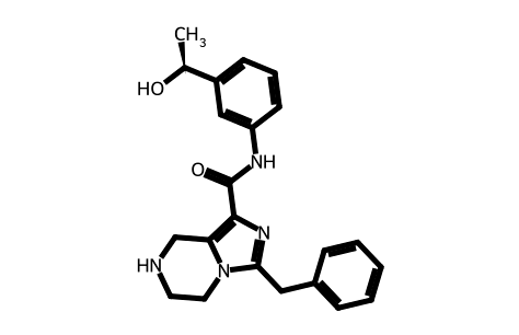 C[C@H](O)c1cccc(NC(=O)c2nc(Cc3ccccc3)n3c2CNCC3)c1